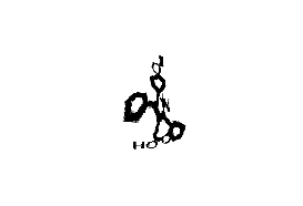 CCOc1ccc(-n2nc(-c3ccccc3)c(CC(=O)O)c2-c2ccccc2)cc1